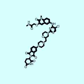 CNC(=O)COc1cc2cc(Nc3nc(N4CCOC(CN5CCN(c6ccc7c(c6)C(=O)N(C6CCC(=O)NC6=O)C7=O)CC5)C4)ncc3Cl)ccc2n(C)c1=O